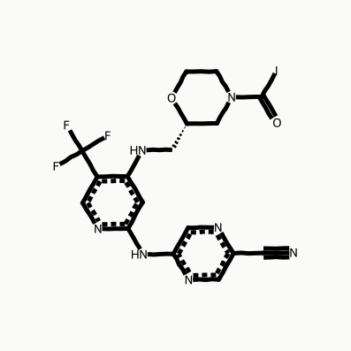 N#Cc1cnc(Nc2cc(NC[C@H]3CN(C(=O)I)CCO3)c(C(F)(F)F)cn2)cn1